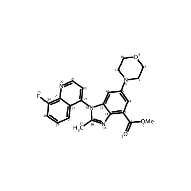 COC(=O)c1cc(N2CCOCC2)cc2c1nc(C)n2-c1ccnc2c(F)cccc12